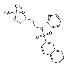 CC1(C)OCC(CCOS(=O)(=O)c2ccc3ccccc3c2)O1.c1ccncc1